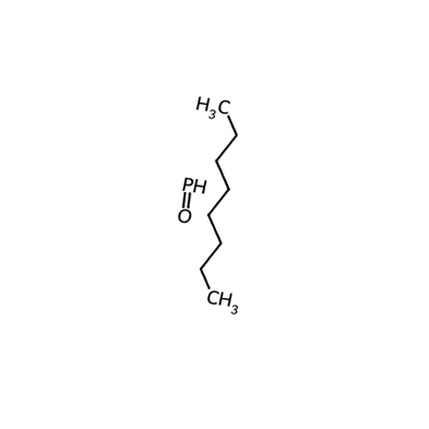 CCCCCCCC.O=P